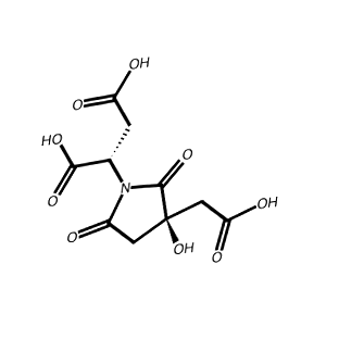 O=C(O)C[C@@H](C(=O)O)N1C(=O)C[C@@](O)(CC(=O)O)C1=O